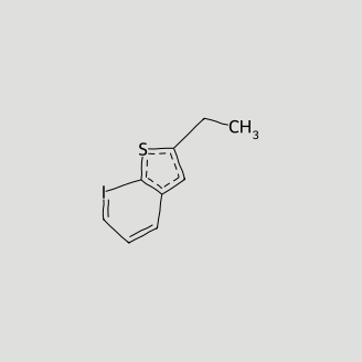 CCc1cc2c(s1)I=CC=C2